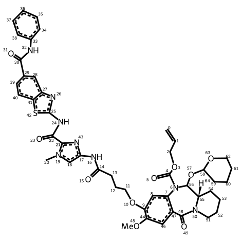 C=CCOC(=O)N1c2cc(OCCCC(=O)Nc3cn(C)c(C(=O)Nc4nc5cc(C(=O)Nc6ccccc6)ccc5s4)n3)c(OC)cc2C(=O)N2CCCC[C@H]2C1OC1CCCCO1